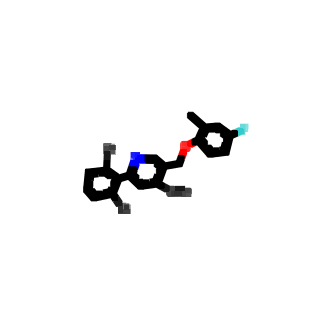 CCc1cccc(CC)c1-c1cc(OC)c(COc2ccc(F)cc2C)cn1